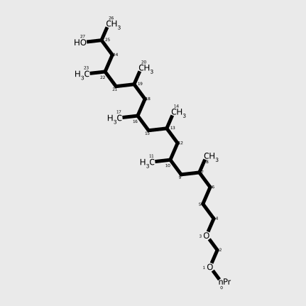 CCCOCOCCCC(C)CC(C)CC(C)CC(C)CC(C)CC(C)CC(C)O